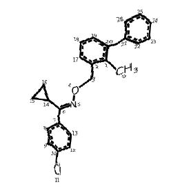 Cc1c(CO/N=C(/c2ccc(Cl)cc2)C2CC2)cccc1-c1ccccc1